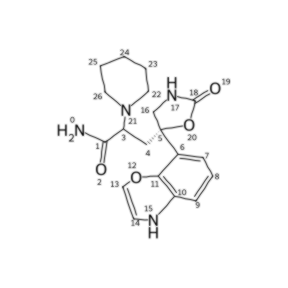 NC(=O)C(C[C@]1(c2cccc3c2OC=CN3)CNC(=O)O1)N1CCCCC1